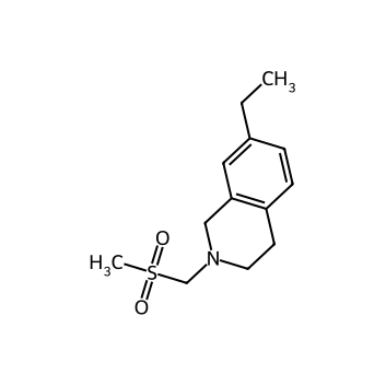 CCc1ccc2c(c1)CN(CS(C)(=O)=O)CC2